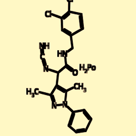 Cc1nn(-c2ccccc2)c(C)c1C(N=C=N)C(=O)NCc1ccc(Cl)c(Cl)c1.[PoH2]